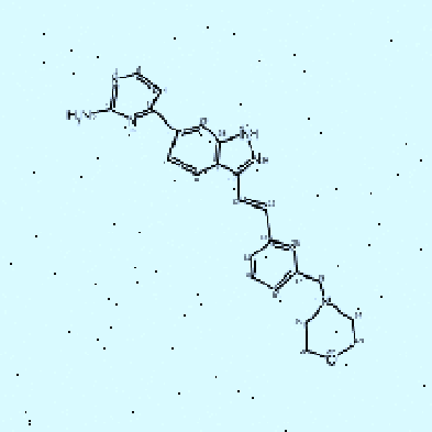 Nc1nccc(-c2ccc3c(C=Cc4cccc(CN5CCOCC5)c4)n[nH]c3c2)n1